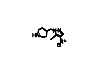 Cc1c([N+](C)=O)cnn1CC1CCNCC1